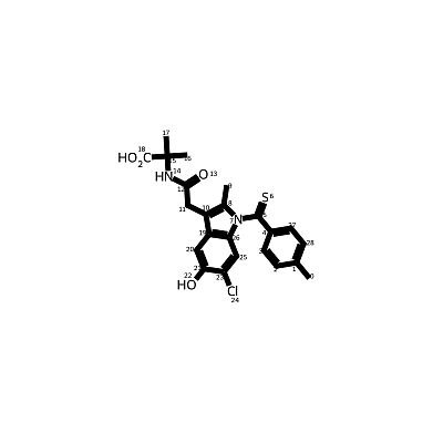 Cc1ccc(C(=S)n2c(C)c(CC(=O)NC(C)(C)C(=O)O)c3cc(O)c(Cl)cc32)cc1